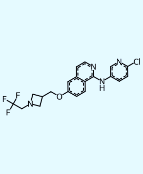 FC(F)(F)CN1CC(COc2ccc3c(Nc4ccc(Cl)nc4)nccc3c2)C1